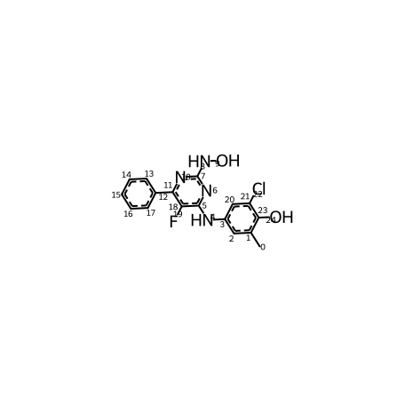 Cc1cc(Nc2nc(NO)nc(-c3ccccc3)c2F)cc(Cl)c1O